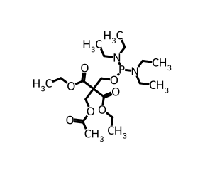 CCOC(=O)C(COC(C)=O)(COP(N(CC)CC)N(CC)CC)C(=O)OCC